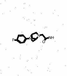 [NH]C(=O)CN1CC2CC1CN2c1ccc(F)cc1